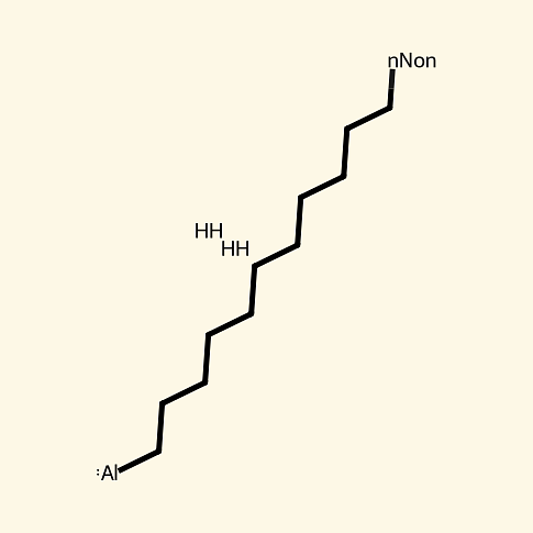 CCCCCCCCCCCCCCCCCCC[CH2][Al].[HH].[HH]